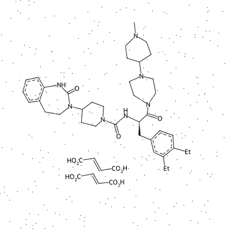 CCc1ccc(C[C@@H](NC(=O)N2CCC(N3CCc4ccccc4NC3=O)CC2)C(=O)N2CCN(C3CCN(C)CC3)CC2)cc1CC.O=C(O)C=CC(=O)O.O=C(O)C=CC(=O)O